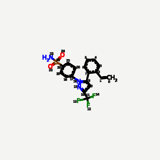 C=Cc1ccccc1-c1cc(C(F)(F)F)nn1-c1ccc(S(N)(=O)=O)cc1